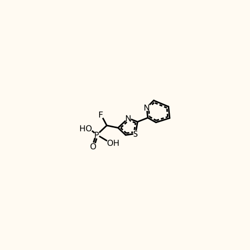 O=P(O)(O)C(F)c1csc(-c2ccccn2)n1